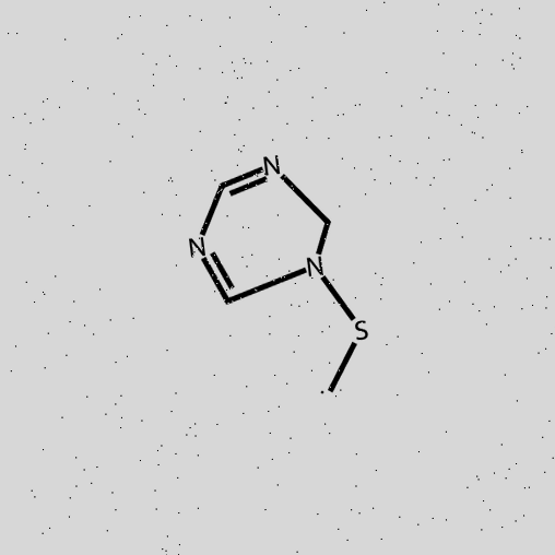 [CH2]SN1C=NC=NC1